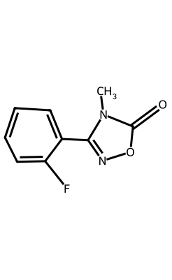 Cn1c(-c2ccccc2F)noc1=O